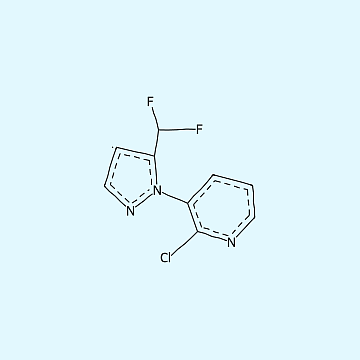 FC(F)c1[c]cnn1-c1cccnc1Cl